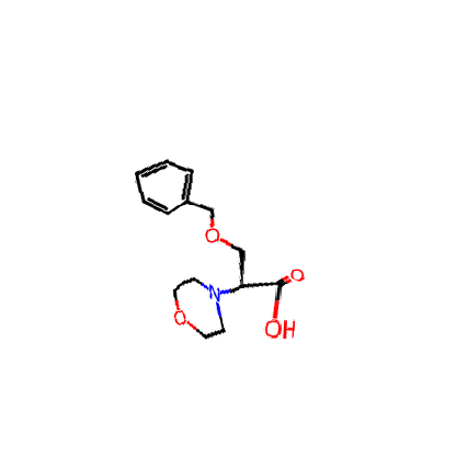 O=C(O)[C@H](COCc1ccccc1)N1CCOCC1